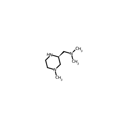 CN(C)C[C@H]1CN(C)CCN1